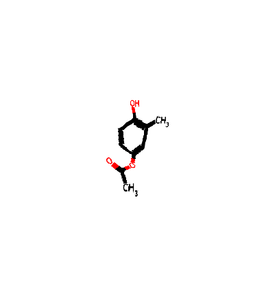 CC(=O)Oc1ccc(O)c(C)c1